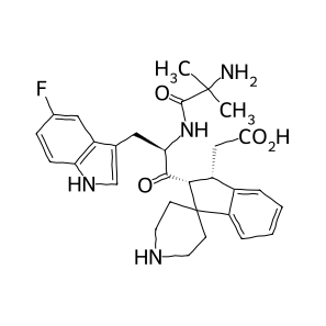 CC(C)(N)C(=O)N[C@H](Cc1c[nH]c2ccc(F)cc12)C(=O)[C@@H]1[C@H](CC(=O)O)c2ccccc2C12CCNCC2